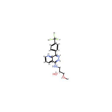 COC[C@H](O)CNc1nnc(-c2ccc(C(F)(F)F)cc2)c2ncccc12